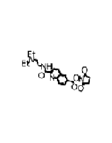 CCN(CC)CCNC(=O)c1ccc2cc(C(=O)ON3C(=O)CCC3=O)ccc2n1